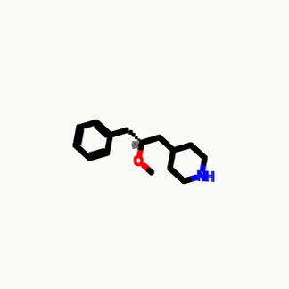 CO[C@H](Cc1ccccc1)CC1CCNCC1